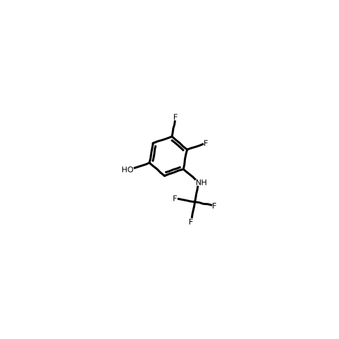 Oc1cc(F)c(F)c(NC(F)(F)F)c1